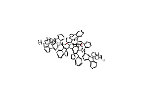 Cc1ccccc1N(c1ccc2c(c1)C(C)(C)c1ccccc1-2)c1cc2c(c3oc4ccccc4c13)-c1c(cc(N(c3ccc4c(c3)C(C)(C)c3ccccc3-4)c3ccccc3C)c3c1oc1ccccc13)C21c2ccccc2N2c3ccccc3Oc3cccc1c32